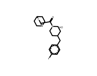 Cl.O=C(C1CC2CCN1CC2)N1CCC(Cc2ccc(F)cc2)CC1